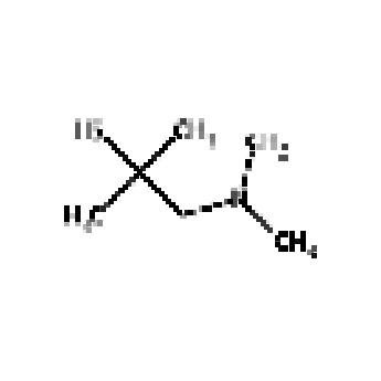 CN(C)CC(C)(C)S